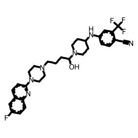 N#Cc1ccc(NC2CCN(C(O)CCCN3CCN(c4ccc5cc(F)ccc5n4)CC3)CC2)cc1C(F)(F)F